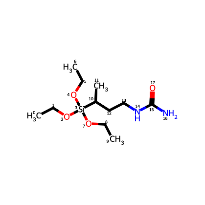 CCO[Si](OCC)(OCC)C(C)CCNC(N)=O